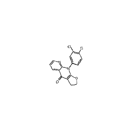 O=c1c2c(n(-c3ccc(Cl)c(Cl)c3)c3ncccc13)OCC2